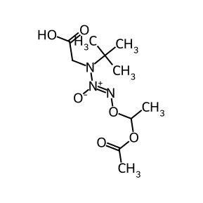 CC(=O)OC(C)ON=[N+]([O-])N(CC(=O)O)C(C)(C)C